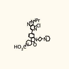 CC(C)n1cnc2cc(-c3ccc4c(c3)N([C@H]3C[C@@H](N5CCCCC5)C3)C(=O)C43CCN(C(=O)O)CC3)nc(Cl)c21